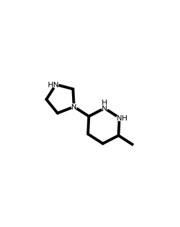 CC1CCC(N2CCNC2)NN1